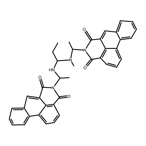 CCC(NC(C)N1C(=O)c2cccc3c2c(cc2ccccc23)C1=O)N(C)C(C)N1C(=O)c2cccc3c2c(cc2ccccc23)C1=O